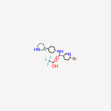 O=C(Nc1ccc([C@@H]2CCCNC2)cc1)c1ccc(Br)nc1.O=C(O)C(F)(F)F